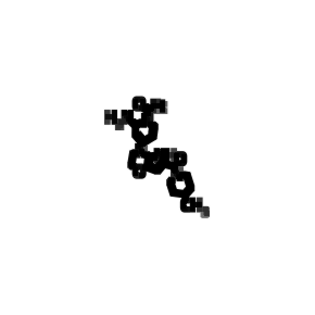 CCC(=O)N1C=CC(N2CCOc3cc(C(=O)N4CCC(C)CC4)[nH]c32)=CC1N